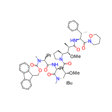 CC[C@H](C)[C@@H]([C@@H](CC(=O)N1CCC[C@H]1[C@H](OC)[C@@H](C)C(=O)N[C@H](C(=O)N1CCCCO1)[C@@H](C)c1ccccc1)OC)N(C)C(=O)[C@@H](NC(=O)[C@H](C(C)C)N(C)C(=O)OCC1c2ccccc2-c2ccccc21)C(C)C